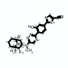 CN(c1cnc(-c2ccc(-c3ncc(C#N)s3)cc2O)nn1)[C@H]1C[C@@H]2CCC[C@@](C)(N2)[C@H]1F